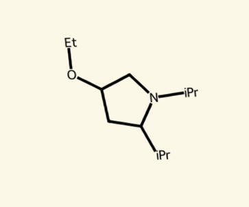 CCOC1CC(C(C)C)N(C(C)C)C1